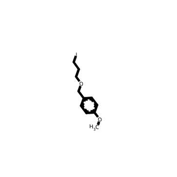 COc1ccc(COCCCI)cc1